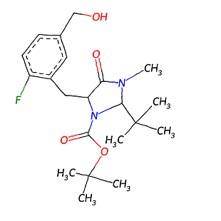 CN1C(=O)C(Cc2cc(CO)ccc2F)N(C(=O)OC(C)(C)C)C1C(C)(C)C